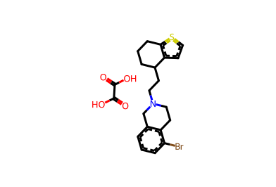 Brc1cccc2c1CCN(CCC1CCCc3sccc31)C2.O=C(O)C(=O)O